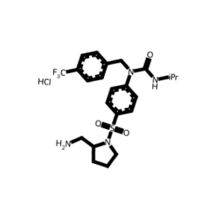 CC(C)NC(=O)N(Cc1ccc(C(F)(F)F)cc1)c1ccc(S(=O)(=O)N2CCCC2CN)cc1.Cl